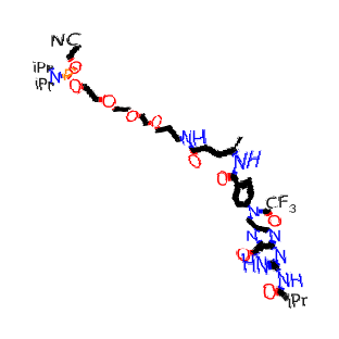 CC(C)C(=O)Nc1nc2ncc(CN(C(=O)C(F)(F)F)c3ccc(C(=O)N[C@H](C)CCC(=O)NCCCOCCOCCOCCOP(OCCC#N)N(C(C)C)C(C)C)cc3)nc2c(=O)[nH]1